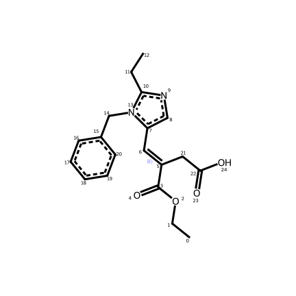 CCOC(=O)/C(=C/c1cnc(CC)n1Cc1ccccc1)CC(=O)O